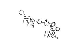 C[C@H](NC(=O)OCc1ccccc1)c1ncc(-c2ccc(-c3ncc(-c4cnc([C@@H]5CCCN5C(=O)OC(C)(C)C)[nH]4)cn3)cc2)[nH]1